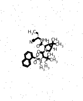 CC[C@@H](C#N)NC(=O)[C@@H]1[C@@H]2[C@H](CN1C(=O)[C@@H](N(C)S(=O)(=O)c1cccc3ccccc13)C(C)(C)C)C2(C)C